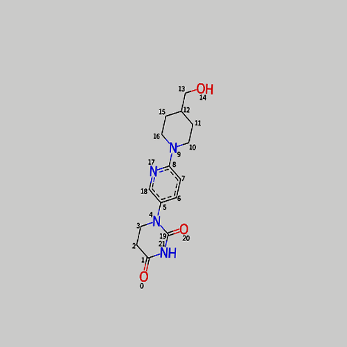 O=C1CCN(c2ccc(N3CCC(CO)CC3)nc2)C(=O)N1